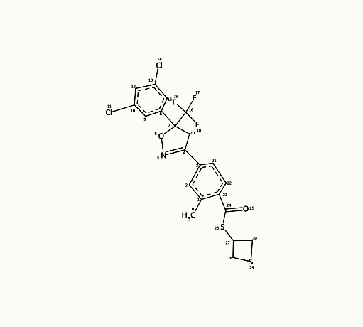 Cc1cc(C2=NOC(c3cc(Cl)cc(Cl)c3)(C(F)(F)F)C2)ccc1C(=O)SC1CSC1